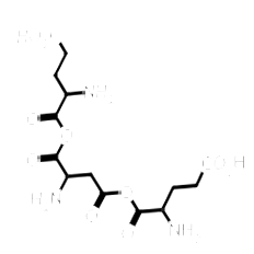 NC(CCC(=O)O)C(=O)OC(=O)CC(N)C(=O)OC(=O)C(N)CCC(=O)O